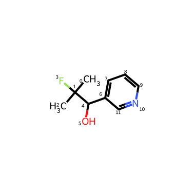 CC(C)(F)C(O)c1cccnc1